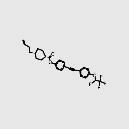 C=CCC[C@H]1CC[C@H](C(=O)Oc2ccc(C#Cc3ccc(OC(F)C(F)(F)F)cc3)cc2)CC1